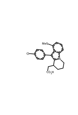 CSc1cccc2c1c(-c1ccc(Cl)cc1)c1n2CCCC1CC(=O)O